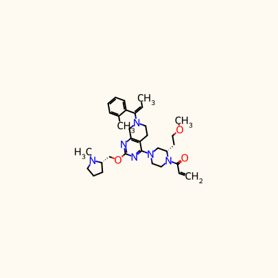 C=CC(=O)N1CCN(c2nc(OC[C@@H]3CCCN3C)nc3c2CCN(/C(=C/C)c2ccccc2C)C3)C[C@@H]1CCOC